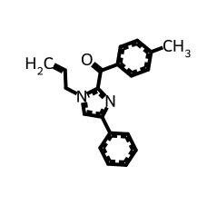 C=CCn1cc(-c2ccccc2)nc1C(=O)c1ccc(C)cc1